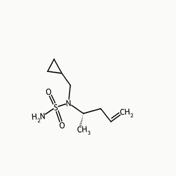 C=CC[C@H](C)N(CC1CC1)S(N)(=O)=O